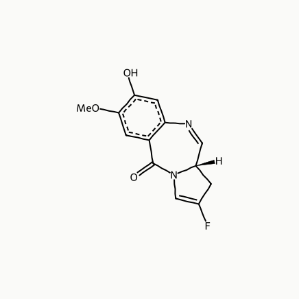 COc1cc2c(cc1O)N=C[C@@H]1CC(F)=CN1C2=O